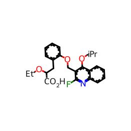 CCOC(Cc1ccccc1OCc1c(F)nc2ccccc2c1OC(C)C)C(=O)O